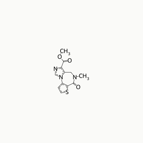 COC(=O)c1ncn2c1CN(C)C(=O)c1sccc1-2